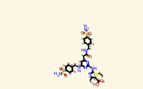 CC[SH]1C(Nc2nc(CC(=O)NCc3ccc(S(N)(=O)=O)cc3)cc(NCc3ccc(S(N)(=O)=O)cc3)n2)=NC(C)=C1C(=O)O